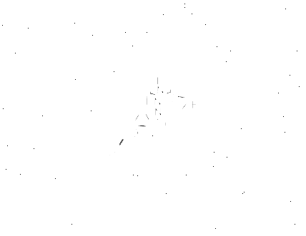 O=C1NC(=O)C(CN2Cc3ccc(OCC#CC4CC4)cc3C2=O)(C2C=CC(F)=CC2)N1